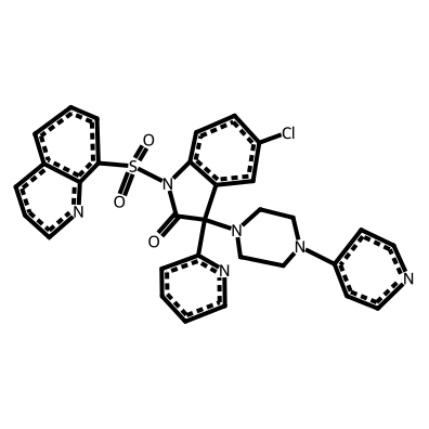 O=C1N(S(=O)(=O)c2cccc3cccnc23)c2ccc(Cl)cc2C1(c1ccccn1)N1CCN(c2ccncc2)CC1